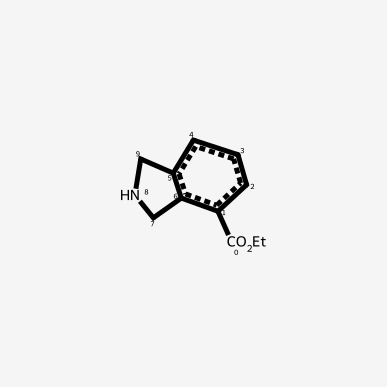 CCOC(=O)c1cccc2c1CNC2